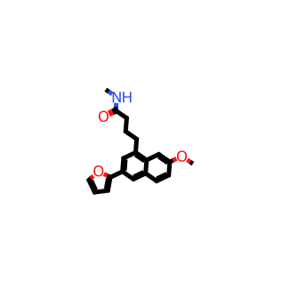 CNC(=O)CCCc1cc(-c2ccco2)cc2ccc(OC)cc12